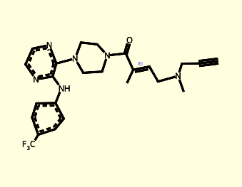 C#CCN(C)C/C=C(\C)C(=O)N1CCN(c2nccnc2Nc2ccc(C(F)(F)F)cc2)CC1